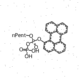 CCCCCOP(=O)(Oc1ccc2cccc3c4cccc5cccc(c1c23)c54)OP(=O)(O)O